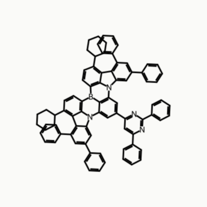 c1ccc(-c2cc(-c3ccccc3)c3c4c(C5CCCCC5)ccc5c4n(c3c2)-c2cc(-c3cc(-c4ccccc4)nc(-c4ccccc4)n3)cc3c2B5c2ccc(C4CCCCC4)c4c5c(-c6ccccc6)cc(-c6ccccc6)cc5n-3c24)cc1